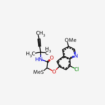 CC#CC(C)(C)NC(=O)C(Oc1cc(Cl)c2ncc(OC)cc2c1)SC